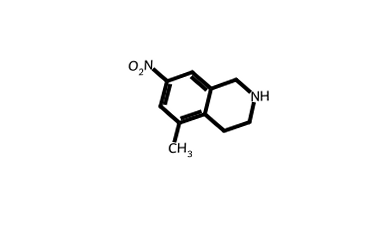 Cc1cc([N+](=O)[O-])cc2c1CCNC2